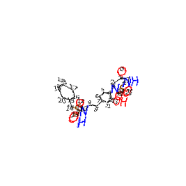 O=C1CN(c2ccc(CCNS(=O)(=O)CC3CCCCC3)cc2O)S(=O)(=O)N1